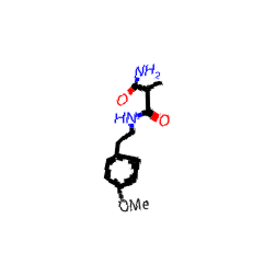 COc1ccc(CCNC(=O)[C](C)C(N)=O)cc1